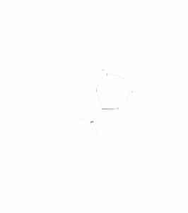 O=C(CCl)C1CNCCO1